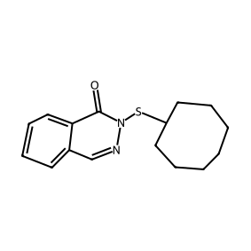 O=c1c2ccccc2cnn1SC1CCCCCCC1